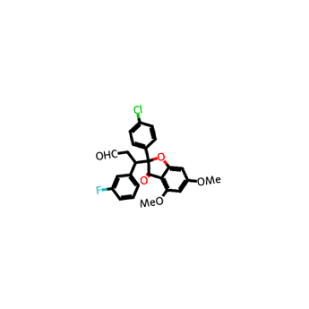 COc1cc(OC)c2c(c1)OC(c1ccc(Cl)cc1)(C(CC=O)c1cccc(F)c1)C2=O